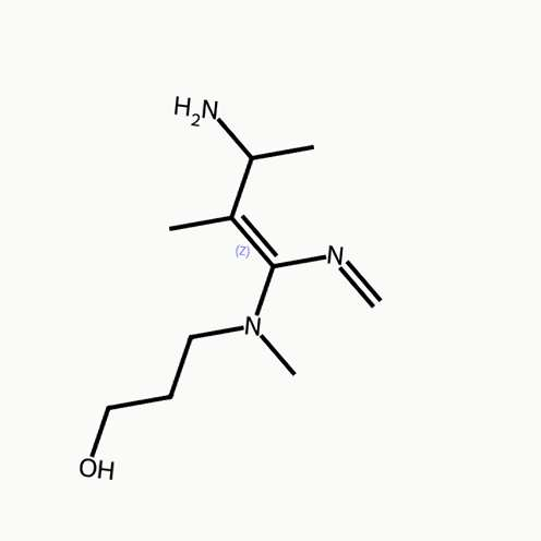 C=N/C(=C(/C)C(C)N)N(C)CCCO